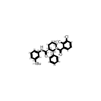 Cc1c(Cl)cccc1C(=O)N1CCC[C@H](C(=O)Nc2cccc(C(C)(C)C)c2)[C@@H]1c1ccccc1